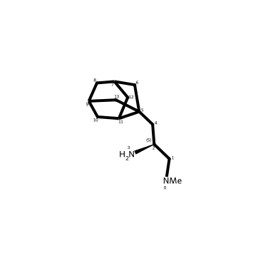 CNC[C@@H](N)CC12CC3CC(CC1C3)C2